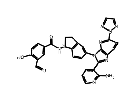 Nc1ncccc1-c1nc2ccc(-n3nccn3)nc2n1-c1ccc2c(c1)CC[C@@H]2NC(=O)c1ccc(O)c(C=O)c1